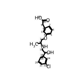 CC(COc1cccc(CC(=O)O)c1)NCC(O)c1cccc(Cl)c1